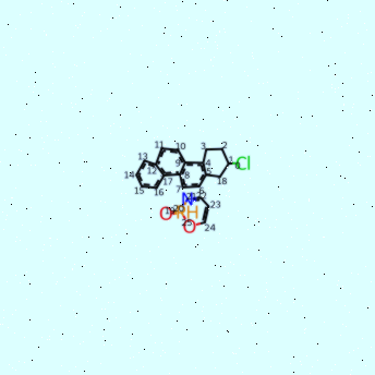 ClC1CCc2c(ccc3c2ccc2ccccc23)C1.O=[PH]1N=CC=CO1